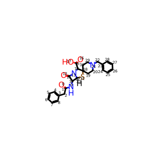 O=C(Cc1ccccc1)NC1C(=O)N2C(C(=O)O)C3(CCN(Cc4ccccc4)CC3)S[C@@H]12